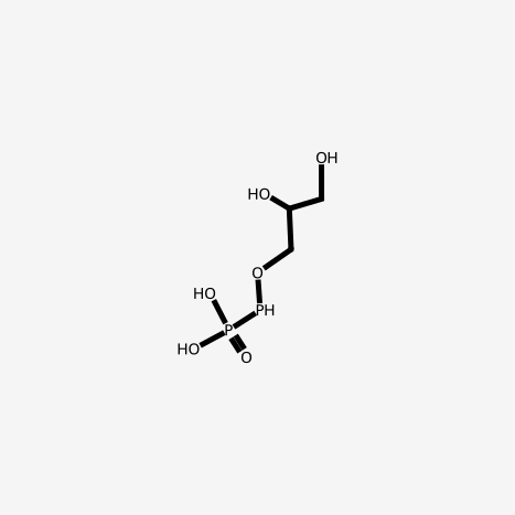 O=P(O)(O)POCC(O)CO